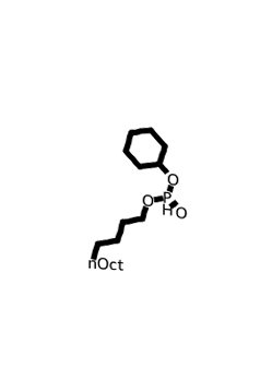 CCCCCCCCCCCCO[PH](=O)OC1CCCCC1